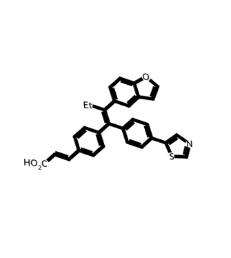 CCC(=C(c1ccc(C=CC(=O)O)cc1)c1ccc(-c2cncs2)cc1)c1ccc2occc2c1